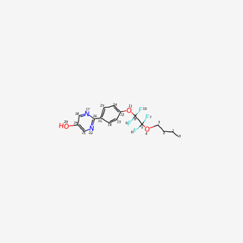 CCCCOC(F)(F)C(F)(F)Oc1ccc(-c2ncc(O)cn2)cc1